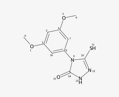 COc1cc(OC)cc(-n2c(S)n[nH]c2=O)c1